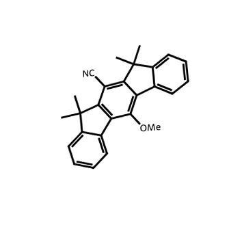 COc1c2c(c(C#N)c3c1-c1ccccc1C3(C)C)C(C)(C)c1ccccc1-2